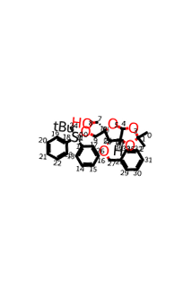 CC1(C)OC2O[C@](CO)(CO[Si](c3ccccc3)(c3ccccc3)C(C)(C)C)[C@@H](OCc3ccccc3)[C@H]2O1